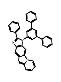 c1ccc(-c2cc(-c3ccccc3)cc(-n3c(-c4ccccc4)nc4cc5nc6ccccn6c5cc43)c2)cc1